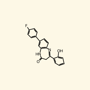 O=C1CC(c2ccccc2O)=Nc2ccc(-c3ccc(F)cc3)cc2N1